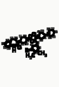 Cc1cc(C[C@@H](OC(=O)N2CCC(N3CCc4ccccc4NC3=O)CC2)C(=O)N2CCC(N3CCCCC3)CC2)cc(Br)c1C